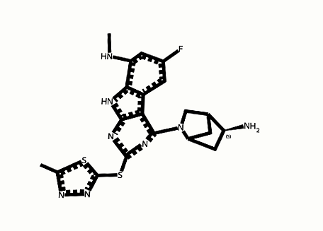 CNc1cc(F)cc2c1[nH]c1nc(Sc3nnc(C)s3)nc(N3CC4CC3C[C@@H]4N)c12